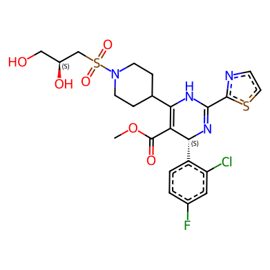 COC(=O)C1=C(C2CCN(S(=O)(=O)C[C@@H](O)CO)CC2)NC(c2nccs2)=N[C@@H]1c1ccc(F)cc1Cl